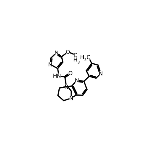 COc1cc(NC(=O)N2c3nc(-c4cncc(C)c4)ccc3N3CCC2CC3)ncn1